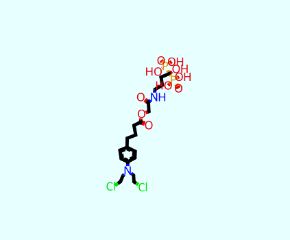 O=C(COC(=O)CCCc1ccc(N(CCCl)CCCl)cc1)NCCCC(O)(P(=O)(O)O)P(=O)(O)O